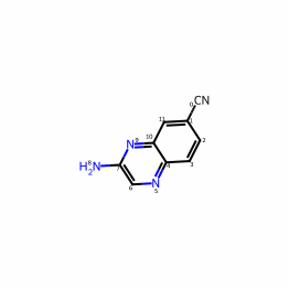 N#Cc1ccc2ncc(N)nc2c1